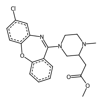 COC(=O)CC1CN(C2=Nc3cc(Cl)ccc3Oc3ccccc32)CCN1C